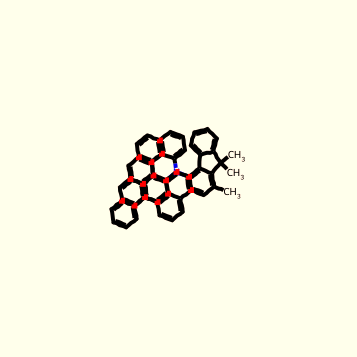 Cc1ccc(N(c2ccc(-c3ccccc3)cc2-c2ccccc2)c2ccccc2-c2ccccc2-c2cccc3cccc(-c4ccccc4)c23)c2c1C(C)(C)c1ccccc1-2